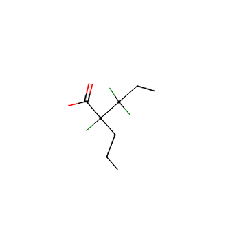 CCCC(F)(C(=O)O)C(F)(F)CC